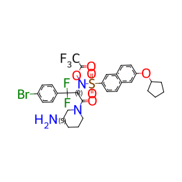 N[C@H]1CCCN(C(=O)[C@@H](N(OC(=O)C(F)(F)F)S(=O)(=O)c2ccc3cc(OC4CCCC4)ccc3c2)C(F)(F)c2ccc(Br)cc2)C1